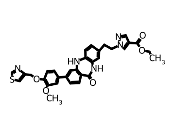 CCOC(=O)c1cnn(CCc2ccc3c(c2)NC(=O)c2ccc(-c4ccc(OCc5cscn5)c(OC)c4)cc2N3)c1